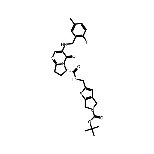 Cc1ccc(F)c(CNc2cnc3n(c2=O)[C@H](C(=O)NCc2cc4c(s2)CN(C(=O)OC(C)(C)C)C4)CC3)c1